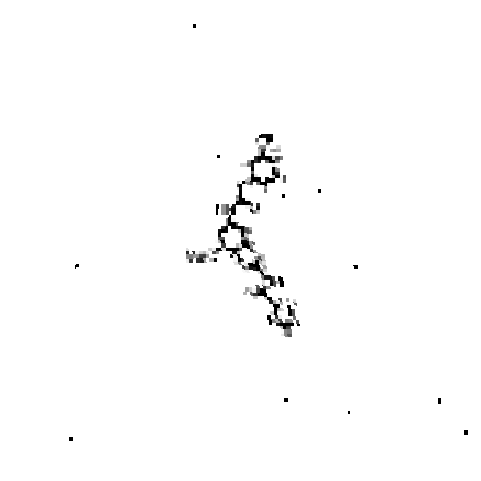 COc1cc(NC(=O)Cc2cccc(C(F)(F)F)c2)cc2sc(NC(=O)c3cscn3)nc12